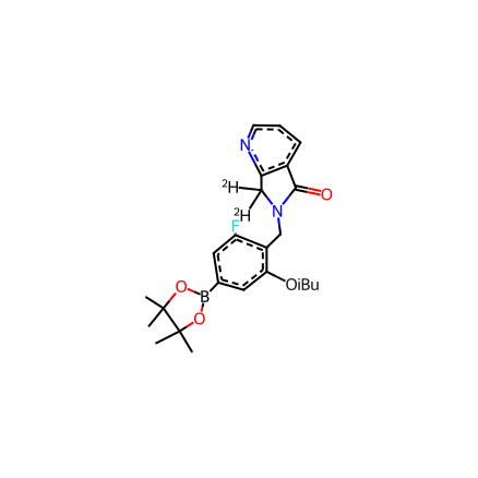 [2H]C1([2H])c2ncccc2C(=O)N1Cc1c(F)cc(B2OC(C)(C)C(C)(C)O2)cc1OCC(C)C